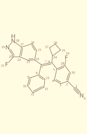 N#Cc1ccc(/C(=C(\c2[c]cccc2)c2ccc3[nH]nc(F)c3c2)C2CCC2)c(F)c1